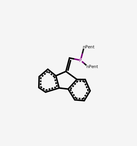 CCCCCP(C=C1c2ccccc2-c2ccccc21)CCCCC